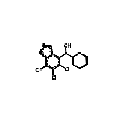 OC(c1c(Cl)c(Cl)c(Cl)c2cncn12)C1CCCCC1